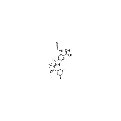 Cc1cc(C)cc(C(=O)N(NC(=O)c2ccc(B(O)O)c(NCC#N)c2)C(C)(C)C)c1